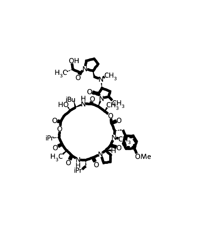 CC[C@H](C)[C@H]1NC(=O)[C@@H](N2C(=O)[C@H](N(C)C[C@@H]3CCCN3C(=O)[C@H](C)O)CC2C)[C@@H](C)OC(=O)[C@H](Cc2ccc(OC)cc2)N(C)C(=O)[C@@H]2CCCN2C(=O)[C@H](CC(C)C)NC(=O)[C@@H](C)C(=O)[C@H](C(C)C)OC(=O)C[C@@H]1O